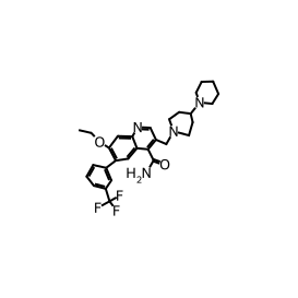 CCOc1cc2ncc(CN3CCC(N4CCCCC4)CC3)c(C(N)=O)c2cc1-c1cccc(C(F)(F)F)c1